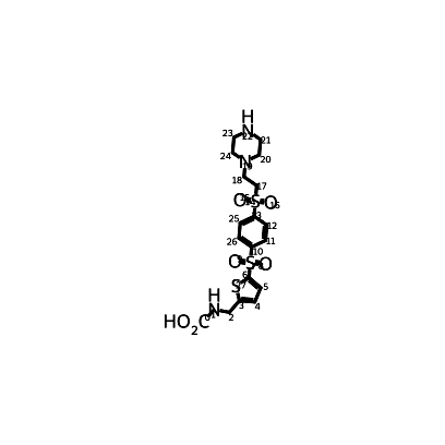 O=C(O)NCc1ccc(S(=O)(=O)c2ccc(S(=O)(=O)CCN3CCNCC3)cc2)s1